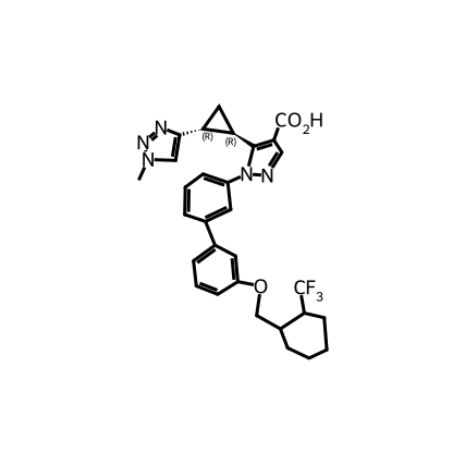 Cn1cc([C@@H]2C[C@H]2c2c(C(=O)O)cnn2-c2cccc(-c3cccc(OCC4CCCCC4C(F)(F)F)c3)c2)nn1